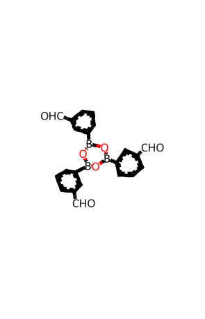 O=Cc1cccc(B2OB(c3cccc(C=O)c3)OB(c3cccc(C=O)c3)O2)c1